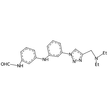 CCN(CC)Cc1cn(-c2cccc(Nc3cccc(NC=O)c3)c2)nn1